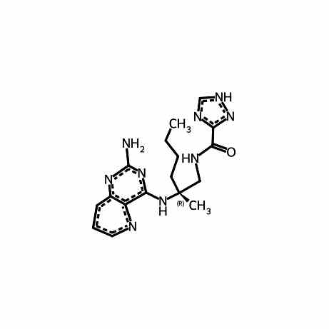 CCCC[C@](C)(CNC(=O)c1nc[nH]n1)Nc1nc(N)nc2cccnc12